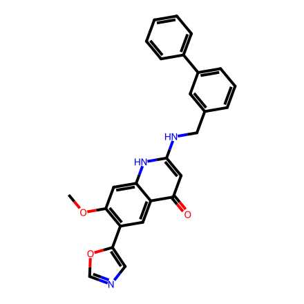 COc1cc2[nH]c(NCc3cccc(-c4ccccc4)c3)cc(=O)c2cc1-c1cnco1